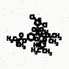 CC(C)OC(=O)[C@@](C)(C(=O)[C@H]1NC(C)(C)CS1)N(c1ccc(OC(=O)N(C)C)cc1)S(=O)(=O)c1cc(Cl)sc1Cl